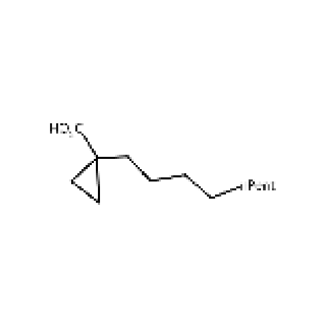 CCCCCCCCCC1(C(=O)O)CC1